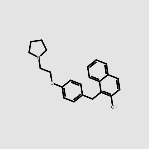 Oc1ccc2ccccc2c1Cc1ccc(OCCN2CCCC2)cc1